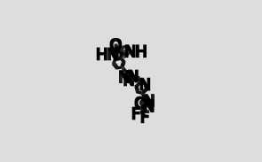 O=C1Nc2ccc(-c3cn(Cc4ccc(-c5nnc(C(F)F)o5)cn4)nn3)cc2[C@]12CCNC2